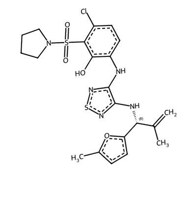 C=C(C)[C@@H](Nc1nsnc1Nc1ccc(Cl)c(S(=O)(=O)N2CCCC2)c1O)c1ccc(C)o1